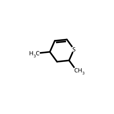 CC1C=CSC(C)C1